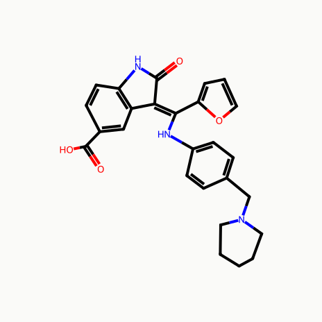 O=C1Nc2ccc(C(=O)O)cc2C1=C(Nc1ccc(CN2CCCCC2)cc1)c1ccco1